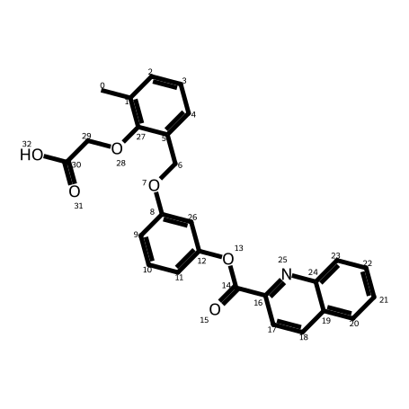 Cc1cccc(COc2cccc(OC(=O)c3ccc4ccccc4n3)c2)c1OCC(=O)O